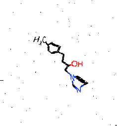 Cc1ccc(CCC(O)Cn2ccnc2)cc1